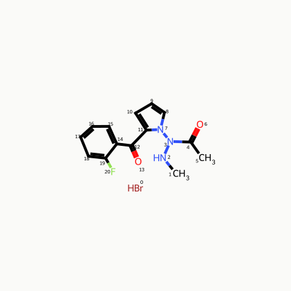 Br.CNN(C(C)=O)n1cccc1C(=O)c1ccccc1F